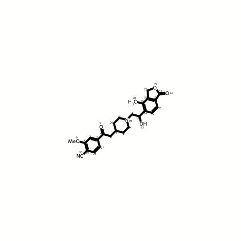 COc1cc(C(=O)CC2CCN(CC(O)c3ccc4c(c3C)COC4=O)CC2)ccc1C#N